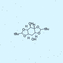 CC(C)(C)C1O[C@@H]2[C@@H](O)[C@@H]3OC(C(C)(C)C)O[C@H]3[C@H](O)[C@@H]2O1